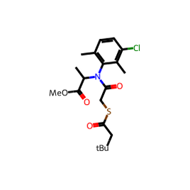 COC(=O)C(C)N(C(=O)CSC(=O)CC(C)(C)C)c1c(C)ccc(Cl)c1C